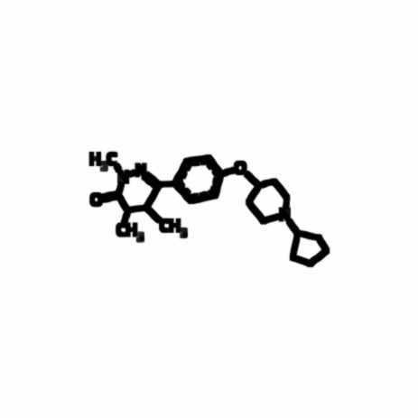 CC1C(=O)N(C)N=C(c2ccc(OC3CCN(C4CCCC4)CC3)cc2)C1C